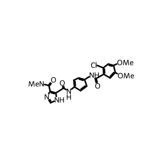 CNC(=O)c1nc[nH]c1C(=O)Nc1ccc(NC(=O)c2cc(OC)c(OC)cc2Cl)cc1